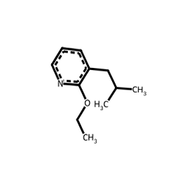 CCOc1ncccc1CC(C)C